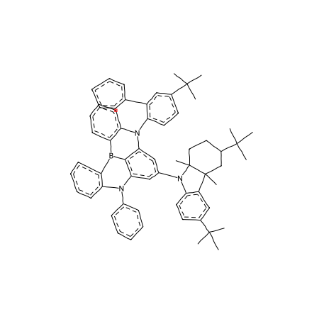 CC(C)(C)c1ccc(N2c3ccccc3B3c4ccccc4N(c4ccccc4)c4cc(N5c6ccc(C(C)(C)C)cc6C6(C)CC(C(C)(C)C)CCC56C)cc2c43)c(-c2ccccc2)c1